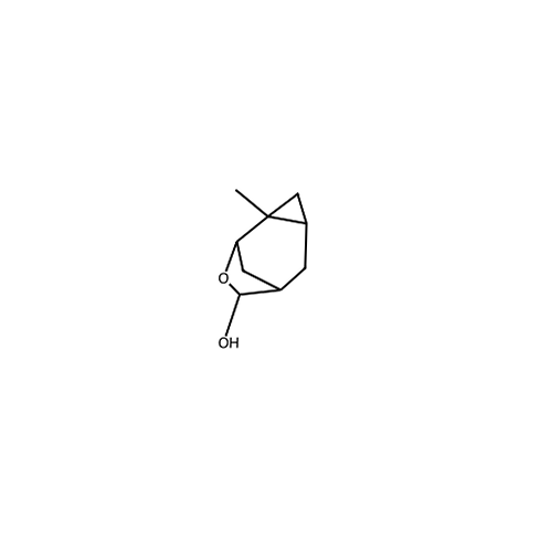 CC12CC1CC1CC2OC1O